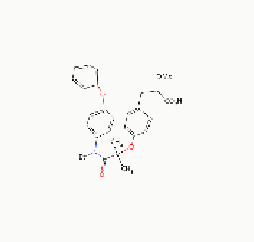 CCN(C(=O)C(C)(C)Oc1ccc(C[C@H](OC)C(=O)O)cc1)c1ccc(Oc2ccccc2)cc1